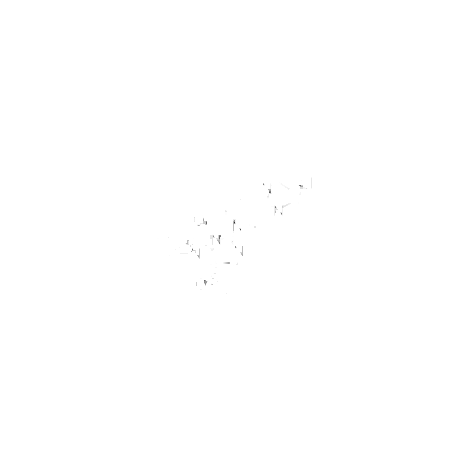 [O-][S@+]1CCc2nc(N3CCC(c4ncc(Cl)cn4)C3)nc(NC3(CO)CCC3)c21